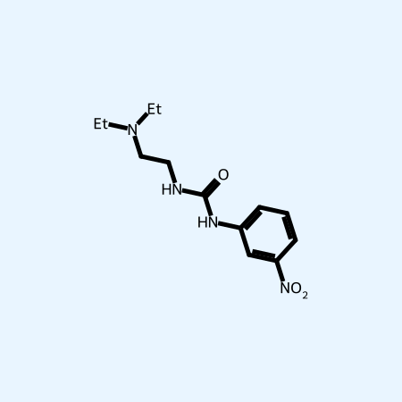 CCN(CC)CCNC(=O)Nc1cccc([N+](=O)[O-])c1